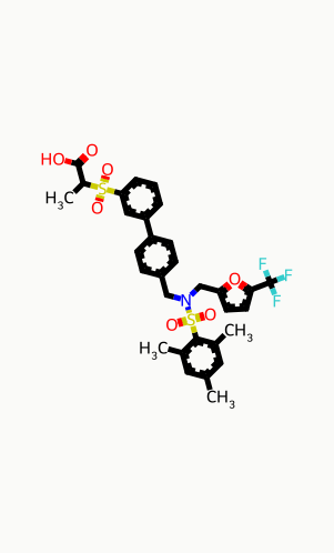 Cc1cc(C)c(S(=O)(=O)N(Cc2ccc(-c3cccc(S(=O)(=O)C(C)C(=O)O)c3)cc2)Cc2ccc(C(F)(F)F)o2)c(C)c1